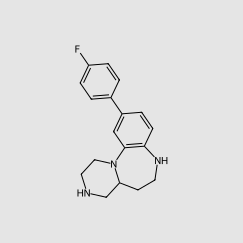 Fc1ccc(-c2ccc3c(c2)N2CCNCC2CCN3)cc1